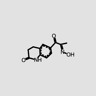 CC(=NO)C(=O)c1ccc2c(c1)CCC(=O)N2